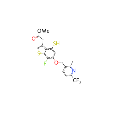 COC(=O)Cc1csc2c(F)c(OCc3ccc(C(F)(F)F)nc3C)cc(S)c12